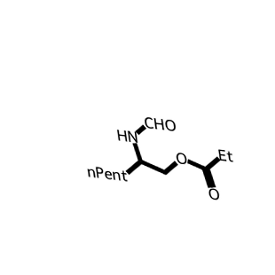 CCCCCC(COC(=O)CC)NC=O